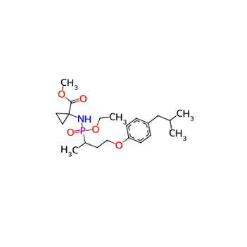 CCOP(=O)(NC1(C(=O)OC)CC1)C(C)CCOc1ccc(CC(C)C)cc1